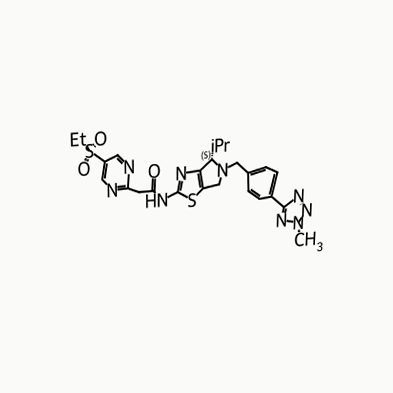 CCS(=O)(=O)c1cnc(CC(=O)Nc2nc3c(s2)CN(Cc2ccc(-c4nnn(C)n4)cc2)[C@H]3C(C)C)nc1